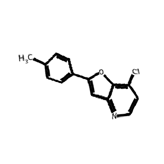 Cc1ccc(-c2cc3nccc(Cl)c3o2)cc1